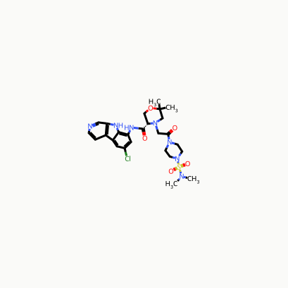 CN(C)S(=O)(=O)N1CCN(C(=O)CN2CC(C)(C)OC[C@H]2C(=O)Nc2cc(Cl)cc3c2[nH]c2cnccc23)CC1